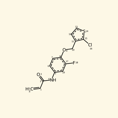 C=CC(=O)Nc1ccc(OCc2ccsc2Cl)c(F)c1